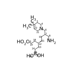 CC1(C)CCN(CC(CN)CC[C@@H](CCB(O)O)CCC(=O)O)CC1